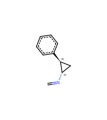 C=N[C@H]1C[C@@H]1c1ccccc1